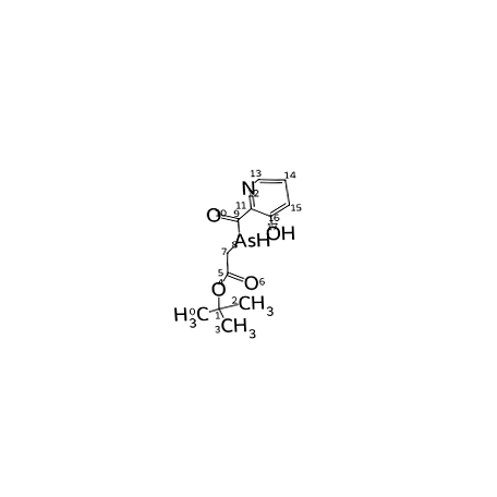 CC(C)(C)OC(=O)C[AsH]C(=O)c1ncccc1O